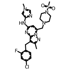 Cc1nn2c(CN3CCN(S(C)(=O)=O)CC3)cc(Nc3cn(C)cn3)nc2c1Cc1ccc(Cl)cc1F